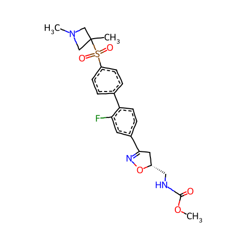 COC(=O)NC[C@H]1CC(c2ccc(-c3ccc(S(=O)(=O)C4(C)CN(C)C4)cc3)c(F)c2)=NO1